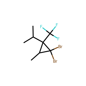 CC(C)C1(C(F)(F)F)C(C)C1(Br)Br